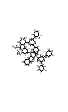 CC1(C)c2ccc(-c3ccc(-c4nc(-c5ccccc5)nc(-c5ccccc5)n4)c4oc5ccccc5c34)cc2-c2c(-c3nc(-c4ccccc4)nc(-c4ccccc4)n3)cccc21